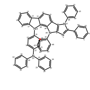 c1ccc(-c2nc3c(c4ccc5c6ccccc6n(-c6ccc(N(c7ccccc7)c7ccccc7)cc6)c5c4n3-c3ccccc3)n2-c2ccccc2)cc1